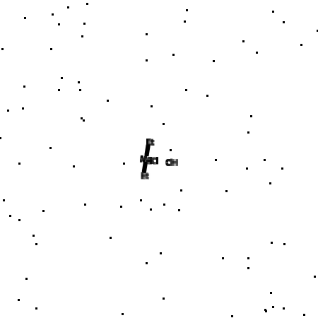 C[CH2][Mg][CH2]C.Cl.Cl